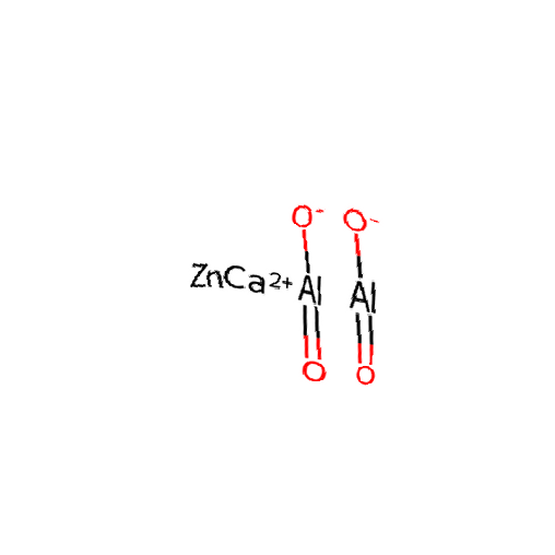 [Ca+2].[O]=[Al][O-].[O]=[Al][O-].[Zn]